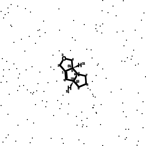 C1=C2COC[C@H]2N2CCC[C@@H]12